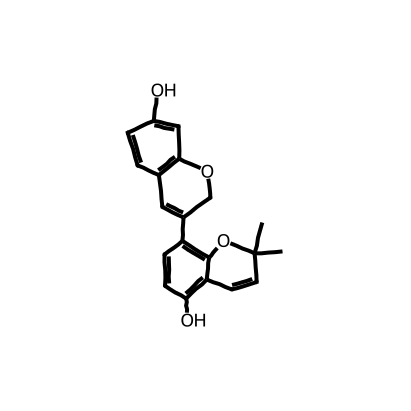 CC1(C)C=Cc2c(O)ccc(C3=Cc4ccc(O)cc4OC3)c2O1